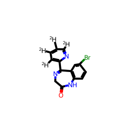 [2H]c1nc(C2=NCC(=O)Nc3ccc(Br)cc32)c([2H])c([2H])c1[2H]